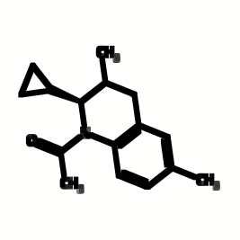 CC(=O)N1c2ccc(C)cc2CC(C)[C@@H]1C1CC1